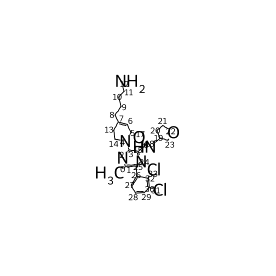 Cc1nc(N2CC=C(CCCCN)CC2)c(C(=O)NC2CCOC2)nc1-c1cccc(Cl)c1Cl